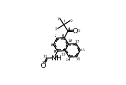 CC(C)(C)C(=O)c1ccc(NC=O)c2ccccc12